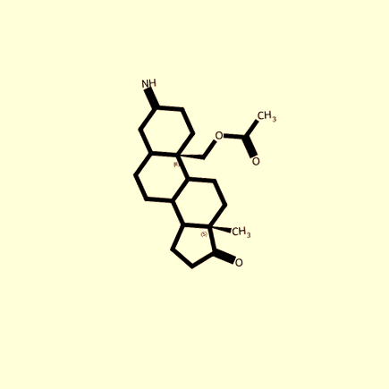 CC(=O)OC[C@]12CCC(=N)CC1CCC1C2CC[C@]2(C)C(=O)CCC12